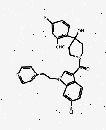 O=Cc1cc(F)ccc1C1(O)CCN(C(=O)c2cn(CCc3ccncc3)c3cc(Cl)ccc23)CC1